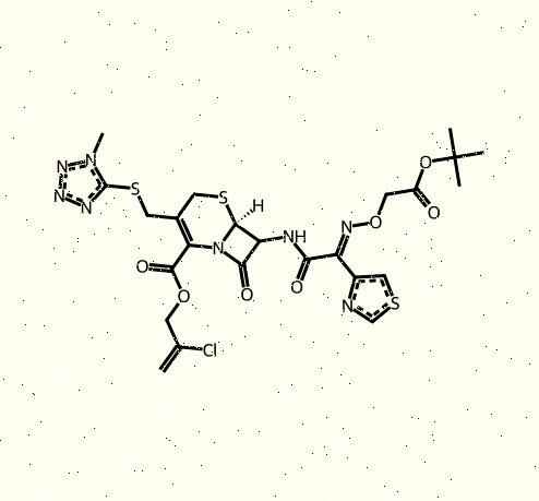 C=C(Cl)COC(=O)C1=C(CSc2nnnn2C)CS[C@H]2C(NC(=O)C(=NOCC(=O)OC(C)(C)C)c3cscn3)C(=O)N12